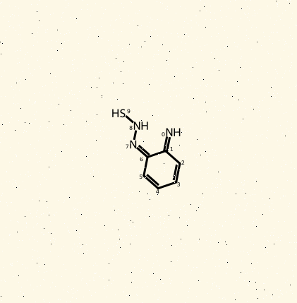 N=C1C=CC=C/C1=N/NS